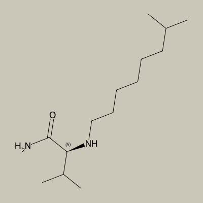 CC(C)CCCCCCN[C@H](C(N)=O)C(C)C